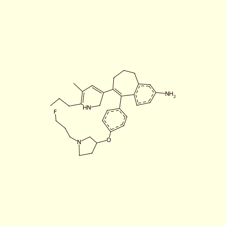 CCCC1=C(C)C=C(C2=C(c3ccc(OC4CCN(CCCF)C4)cc3)c3ccc(N)cc3CCC2)CN1